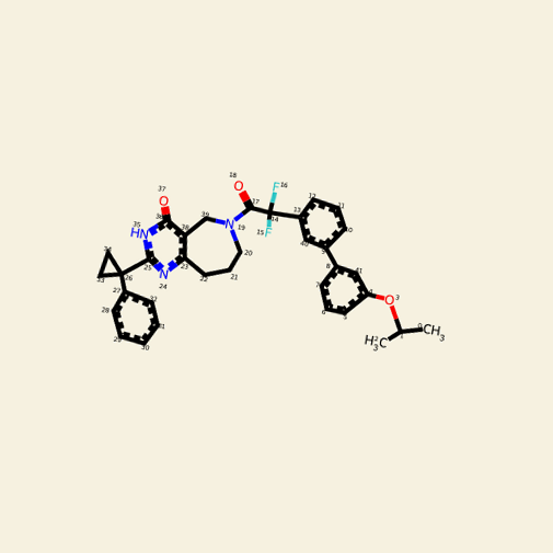 CC(C)Oc1cccc(-c2cccc(C(F)(F)C(=O)N3CCCc4nc(C5(c6ccccc6)CC5)[nH]c(=O)c4C3)c2)c1